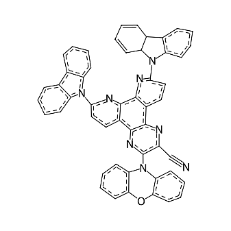 N#Cc1nc2c3ccc(N4c5ccccc5C5C=CC=CC54)nc3c3nc(-n4c5ccccc5c5ccccc54)ccc3c2nc1N1c2ccccc2Oc2ccccc21